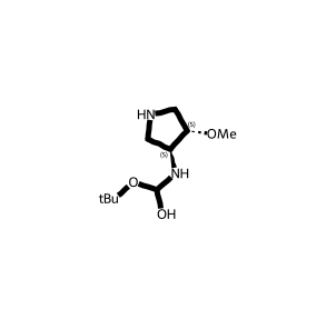 CO[C@H]1CNC[C@@H]1NC(O)OC(C)(C)C